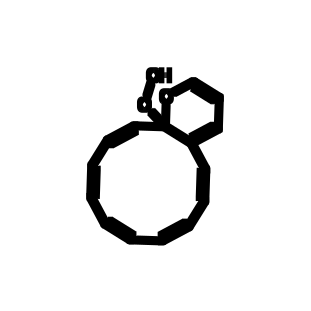 OOC12C=CC=CC=CC=CC=CC1=CC=CO2